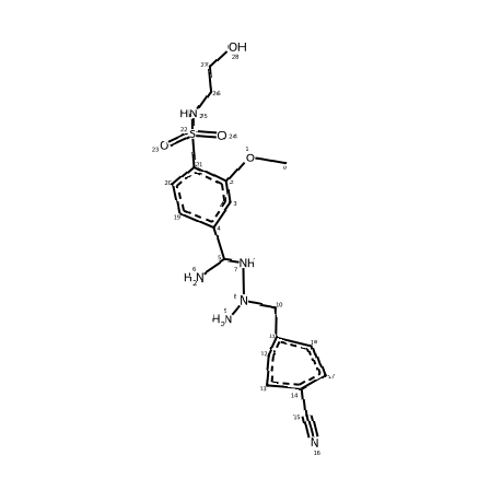 COc1cc(C(N)NN(N)Cc2ccc(C#N)cc2)ccc1S(=O)(=O)NCCO